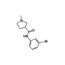 CN1CCC(C(=O)Nc2cccc(Br)c2)C1